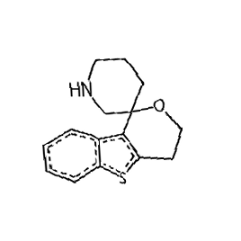 c1ccc2c3c(sc2c1)CCOC31CCCNC1